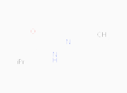 CC=NNC(=O)C(C)C